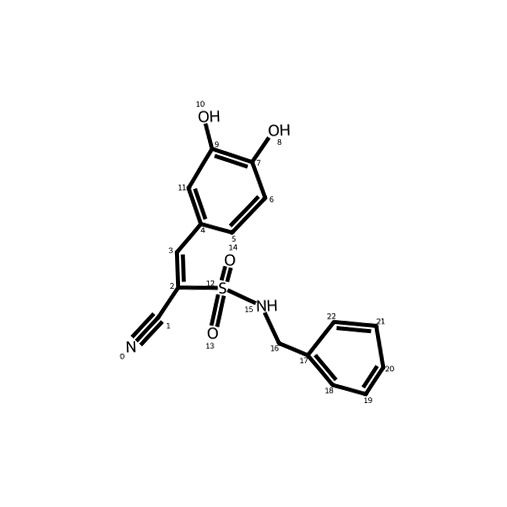 N#C/C(=C/c1ccc(O)c(O)c1)S(=O)(=O)NCc1ccccc1